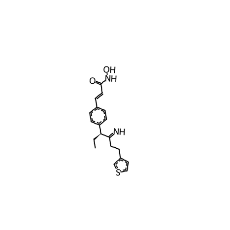 CC[C@H](C(=N)CCc1ccsc1)c1ccc(C=CC(=O)NO)cc1